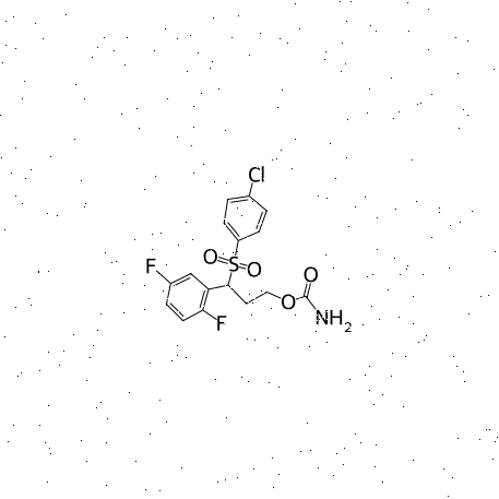 NC(=O)OCCC(c1cc(F)ccc1F)S(=O)(=O)c1ccc(Cl)cc1